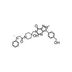 C[C@H](CC(=O)N1CCC(O)(Cn2cnc3c(-c4ccc(CO)cc4)n(C)nc3c2=O)CC1)c1ccccc1